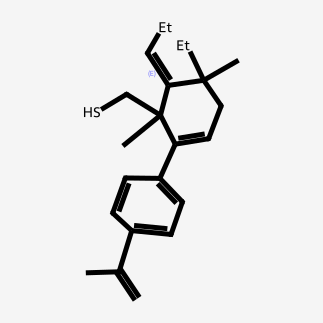 C=C(C)c1ccc(C2=CCC(C)(CC)/C(=C\CC)C2(C)CS)cc1